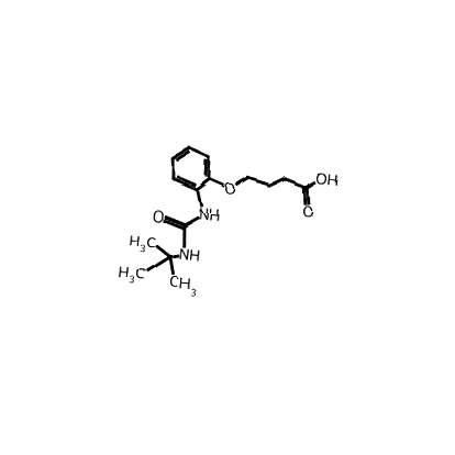 CC(C)(C)NC(=O)Nc1ccccc1OCCCC(=O)O